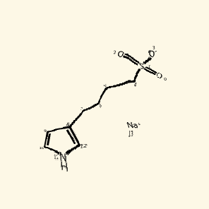 O=S(=O)([O-])CCCCc1cc[nH]c1.[Na+]